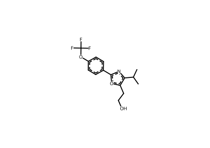 CC(C)c1nc(-c2ccc(OC(F)(F)F)cc2)oc1CCO